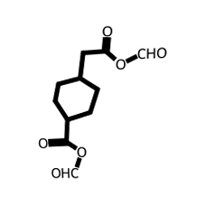 O=COC(=O)CC1CCC(C(=O)OC=O)CC1